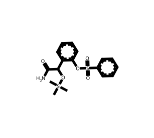 C[Si](C)(C)OC(C(N)=O)c1ccccc1OS(=O)(=O)c1ccccc1